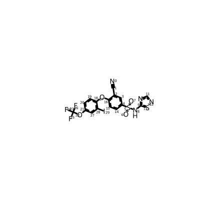 N#Cc1cc(S(=O)(=O)Nc2ncns2)ccc1Oc1ccc(OC(F)(F)F)cc1I